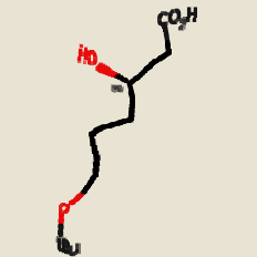 CC(C)(C)OCCC[C@@H](O)CC(=O)O